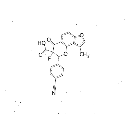 Cc1coc2ccc3c(c12)OC(c1ccc(C#N)cc1)C(F)(C(=O)O)C3=O